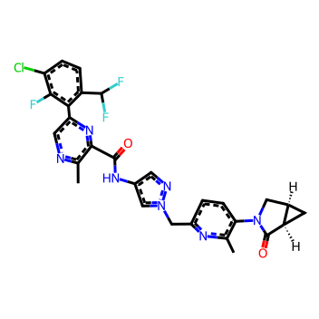 Cc1nc(Cn2cc(NC(=O)c3nc(-c4c(C(F)F)ccc(Cl)c4F)cnc3C)cn2)ccc1N1C[C@H]2C[C@H]2C1=O